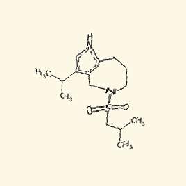 CC(C)CS(=O)(=O)N1CCCc2[nH]cc(C(C)C)c2C1